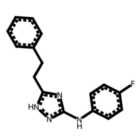 Fc1ccc(Nc2n[nH]c(CCc3ccccc3)n2)cc1